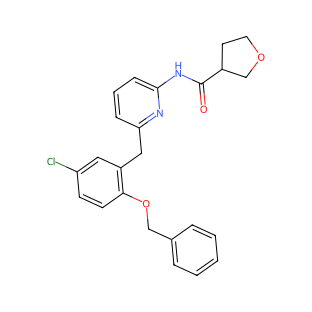 O=C(Nc1cccc(Cc2cc(Cl)ccc2OCc2ccccc2)n1)C1CCOC1